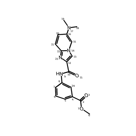 COC(=O)c1cccc(NC(=O)c2cn3cc(N(C)C)ccc3n2)c1